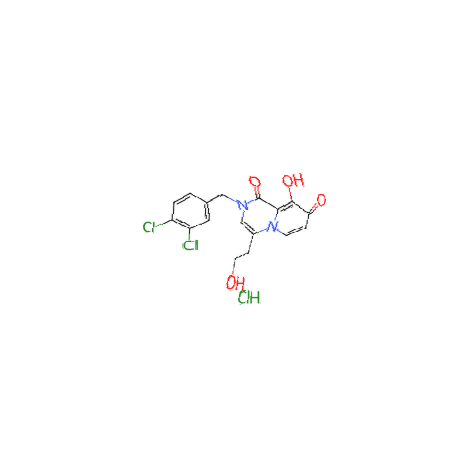 Cl.O=c1ccn2c(CCO)cn(Cc3ccc(Cl)c(Cl)c3)c(=O)c2c1O